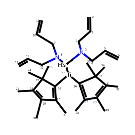 C=CCN(CC=C)[SiH](N(CC=C)CC=C)[Ti]([C]1=C(C)C(C)=C(C)C1(C)C)[C]1=C(C)C(C)=C(C)C1(C)C